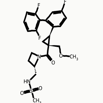 COC[C@@]1(C(=O)N2CC[C@H]2CNS(C)(=O)=O)C[C@H]1c1ccc(F)cc1-c1c(F)cccc1F